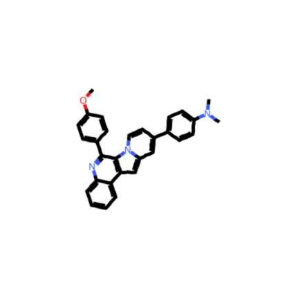 COc1ccc(-c2nc3ccccc3c3cc4cc(-c5ccc(N(C)C)cc5)ccn4c23)cc1